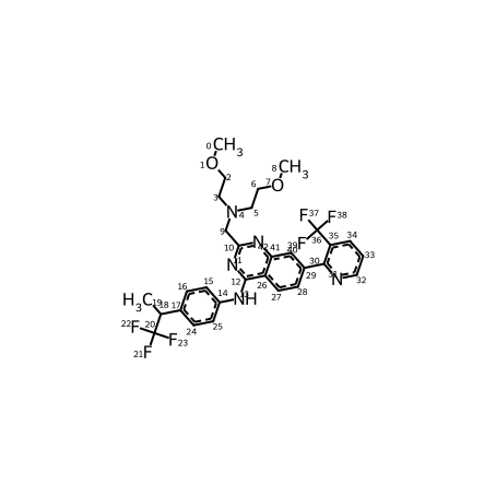 COCCN(CCOC)Cc1nc(Nc2ccc(C(C)C(F)(F)F)cc2)c2ccc(-c3ncccc3C(F)(F)F)cc2n1